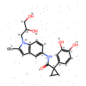 CC(C)(C)c1cc2cc(NC(=O)C3(c4ccc(O)c(O)c4)CC3)ccc2n1CC(O)CO